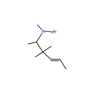 CC=CC(C)(C)C(C)N(C)CCC